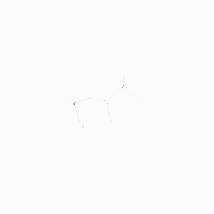 CCC(=O)N(OC(=O)S)C(C)=O